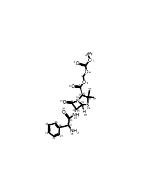 CC(C)OC(=O)OCOC(=O)[C@@H]1N2C(=O)[C@@H](NC(=O)C(N)c3ccccc3)[C@H]2SC1(C)C